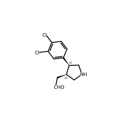 O=CC[C@@H]1CNC[C@@H]1c1ccc(Cl)c(Cl)c1